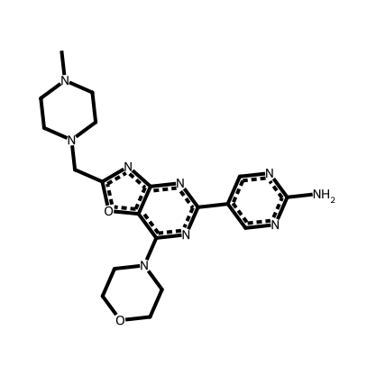 CN1CCN(Cc2nc3nc(-c4cnc(N)nc4)nc(N4CCOCC4)c3o2)CC1